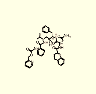 CC(C)N(C[C@@H](O)[C@H](Cc1ccccc1)NC(=O)[C@H](CC(N)=O)NC(=O)c1ccc2ccccc2n1)NC(=O)c1ccccc1NC(=O)OCc1ccccn1